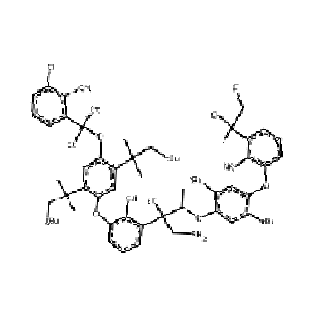 CCC(CC)(Oc1cc(C(C)(C)CC(C)(C)C)c(Oc2cccc(C(CC)(CP)C(C)Oc3cc(C(C)(C)C)c(Oc4cccc(C(C)(Cl)CF)c4C#N)cc3C(C)(C)C)c2C#N)cc1C(C)(C)CC(C)(C)C)c1cccc(Cl)c1C#N